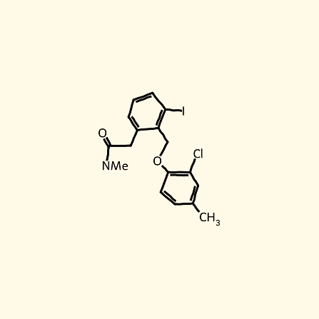 CNC(=O)Cc1cccc(I)c1COc1ccc(C)cc1Cl